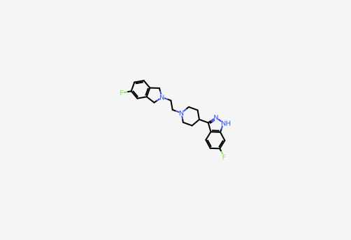 Fc1ccc2c(c1)CN(CCN1CCC(c3n[nH]c4cc(F)ccc34)CC1)C2